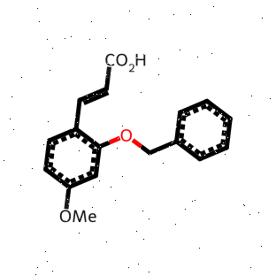 COc1ccc(C=CC(=O)O)c(OCc2ccccc2)c1